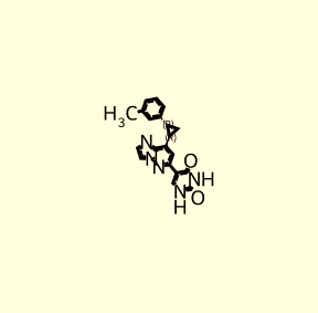 Cc1cccc([C@@H]2C[C@H]2c2cc(-c3c[nH]c(=O)[nH]c3=O)nn3ccnc23)c1